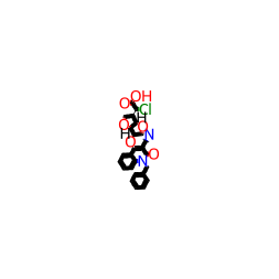 N#Cc1c(O[C@H]2CO[C@H]3[C@H]2OC[C@@H]3C(Cl)C(=O)O)c2ccccc2n(Cc2ccccc2)c1=O